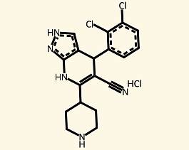 Cl.N#CC1=C(C2CCNCC2)Nc2n[nH]cc2C1c1cccc(Cl)c1Cl